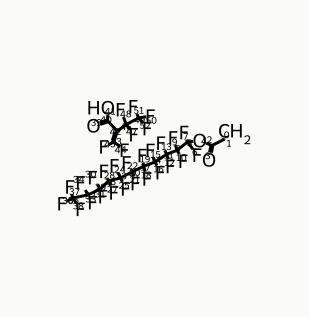 C=CC(=O)OC(F)(F)C(F)(F)C(F)(F)C(F)(F)C(F)(F)C(F)(F)C(F)(F)C(F)(F)C(F)(F)C(F)(F)C(F)(F)F.O=C(O)C(=C(F)F)C(F)(F)C(F)(F)F